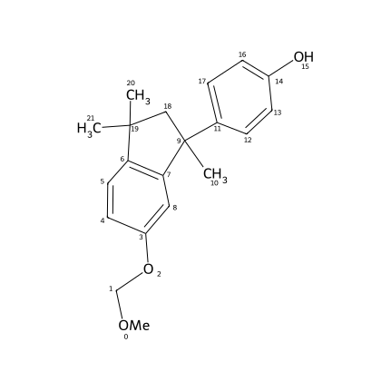 COCOc1ccc2c(c1)C(C)(c1ccc(O)cc1)CC2(C)C